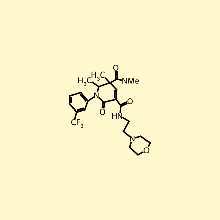 CNC(=O)C1(C)C=C(C(=O)NCCN2CCOCC2)C(=O)N(c2cccc(C(F)(F)F)c2)C1C